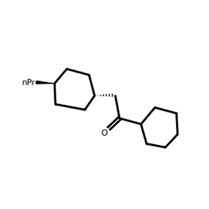 CCC[C@H]1CC[C@H](CC(=O)C2CCCCC2)CC1